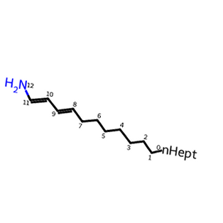 CCCCCCCCCCCCCCC=CC=CN